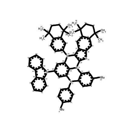 CC(C)(C)c1ccc(N2c3ccc(C(C)(C)C)cc3B3c4sc5cc6c(cc5c4N(c4ccc5c(c4)C(C)(C)CCC5(C)C)c4cc(-n5c7ccccc7c7ccccc75)cc2c43)C(C)(C)CCC6(C)C)cc1